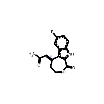 NC(=O)/C=C1\CCNC(=O)c2[nH]c3ccc(F)cc3c21